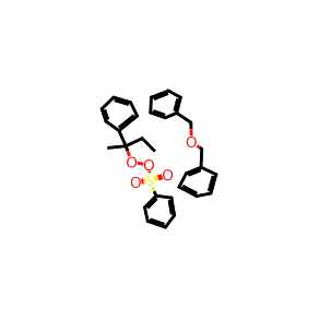 CCC(C)(OOS(=O)(=O)c1ccccc1)c1ccccc1.c1ccc(COCc2ccccc2)cc1